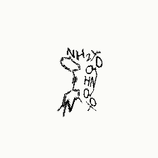 CC(C)(C)OC(=O)CNCC(=O)OC(C)(C)C.Cc1cc(C#Cc2ccc(N)cc2)cc(C)n1